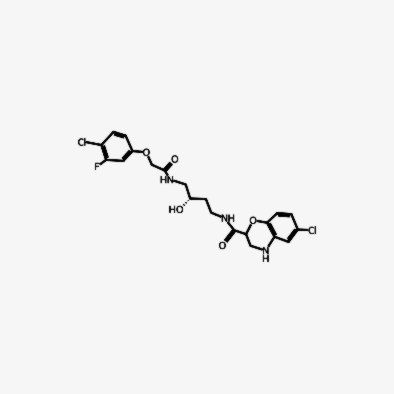 O=C(COc1ccc(Cl)c(F)c1)NC[C@@H](O)CCNC(=O)C1CNc2cc(Cl)ccc2O1